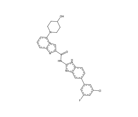 O=C(Nc1nc2cc(-c3cc(F)cc(Cl)c3)ccc2[nH]1)c1cn2c(N3CCC(O)CC3)cccc2n1